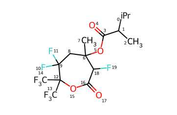 CC(C)C(C)C(=O)OC1(C)CC(F)(F)C(C(F)(F)F)(C(F)(F)F)OC(=O)C1F